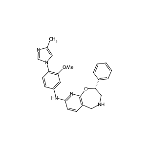 COc1cc(Nc2ccc3c(n2)O[C@H](c2ccccc2)CNC3)ccc1-n1cnc(C)c1